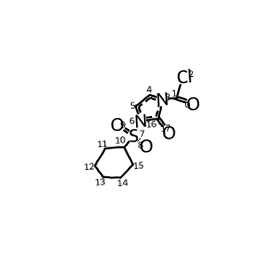 O=C(Cl)n1ccn(S(=O)(=O)C2CCCCC2)c1=O